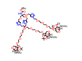 CCO[C@@H]1[C@@H](NC(C)=O)[C@H]2OC[C@](COCCOCCOCCOCCn3cc(COCC(COCc4cn(CCOCCOCCOCCOC[C@@]56CO[C@@H](O5)[C@H](NC(C)=O)[C@H]5OC(C)(C)O[C@H]56)nn4)(COCc4cn(CCOCCOCCOCCOC[C@@]56CO[C@@H](O5)[C@H](NC(C)=O)[C@H]5OC(C)(C)O[C@H]56)nn4)NC(=O)OC(C)(C)C)nn3)(O2)[C@@H]1OCC